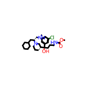 CNC[C@@H](CC1CCCCC1)N1CCC[C@@H]([C@@](O)(CCCNC(=O)OC)c2cccc(Cl)c2)C1